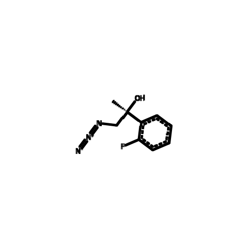 C[C@@](O)(CN=[N+]=[N-])c1ccccc1F